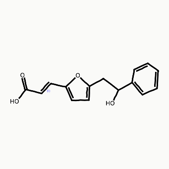 O=C(O)/C=C/c1ccc(CC(O)c2ccccc2)o1